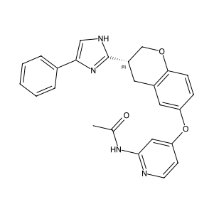 CC(=O)Nc1cc(Oc2ccc3c(c2)C[C@H](c2nc(-c4ccccc4)c[nH]2)CO3)ccn1